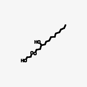 CCCCCCCCCCC(O)CCOOCCO